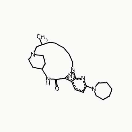 CC1CCCCCn2nc(c3ccc(N4CCCCCC4)nc32)C(=O)NC2CCN(CC2)C1